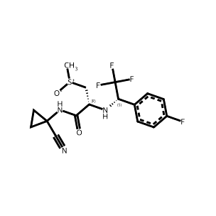 C[S+]([O-])C[C@H](N[C@@H](c1ccc(F)cc1)C(F)(F)F)C(=O)NC1(C#N)CC1